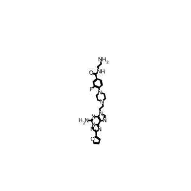 NCCNC(=O)c1ccc(N2CCN(CCn3cnc4c3nc(N)n3nc(-c5ccco5)nc43)CC2)c(F)c1